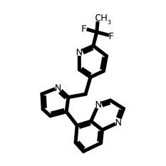 CC(F)(F)c1ccc(Cc2ncccc2-c2cccc3nccnc23)cn1